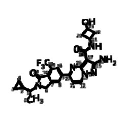 C[C@@H](C1CC1)N1Cc2cc(-c3ccn4nc(N)c(C(=O)NC5CC(O)C5)c4n3)cc(C(F)(F)F)c2C1=O